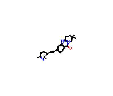 Cc1ccc(C#Cc2ccc3c(=O)n4c(nc3c2)CCC(C)(C)C4)cn1